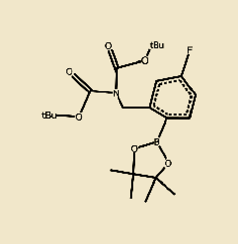 CC(C)(C)OC(=O)N(Cc1cc(F)ccc1B1OC(C)(C)C(C)(C)O1)C(=O)OC(C)(C)C